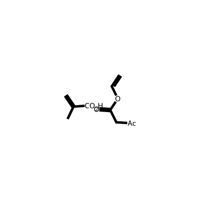 C=C(C)C(=O)O.C=COC(=O)CC(C)=O